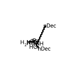 CCCCCCCCCC/C=C/[C@@H](O)[C@H](COP(=O)(O)OCCN)NC(=O)CCCCCCCCCCCCCCCCCCCCCCC